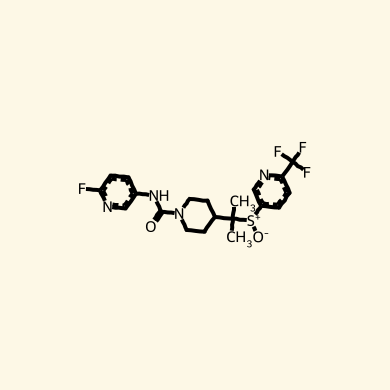 CC(C)(C1CCN(C(=O)Nc2ccc(F)nc2)CC1)[S+]([O-])c1ccc(C(F)(F)F)nc1